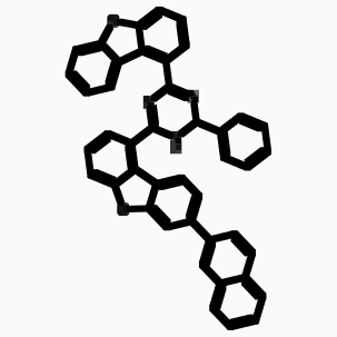 c1ccc(C2N=C(c3cccc4oc5ccccc5c34)N=C(c3cccc4oc5cc(-c6ccc7ccccc7c6)ccc5c34)N2)cc1